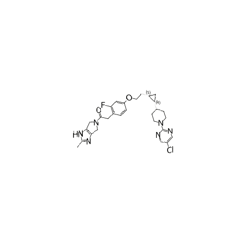 Cc1nc2c([nH]1)CN(C(=O)Cc1ccc(OCC[C@@H]3C[C@@H]3C3CCN(c4ncc(Cl)cn4)CC3)cc1F)C2